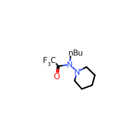 CCCCN(C(=O)C(F)(F)F)N1CCCCC1